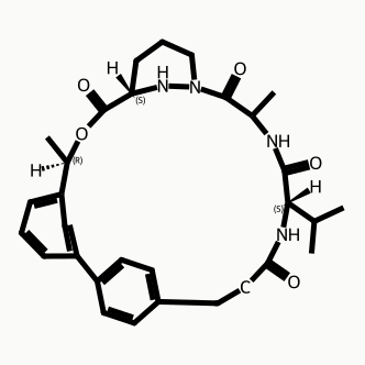 CC1NC(=O)[C@H](C(C)C)NC(=O)CCc2ccc(cc2)-c2cccc(c2)[C@@H](C)OC(=O)[C@@H]2CCCN(N2)C1=O